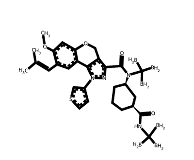 BC(B)(B)NC(=O)[C@H]1CCC[C@@H](N(C(=O)c2nn(-c3ccsc3)c3c2COc2cc(OC)c(C=C(C)C)cc2-3)C(B)(B)B)C1